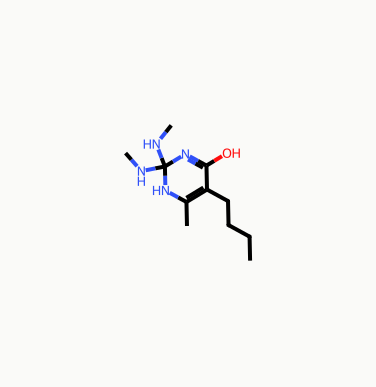 CCCCC1=C(C)NC(NC)(NC)N=C1O